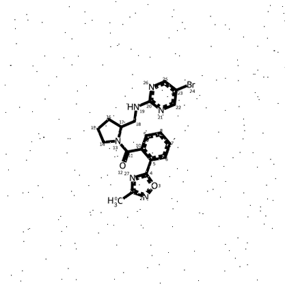 Cc1noc(-c2ccccc2C(=O)N2CCCC2CNc2ncc(Br)cn2)n1